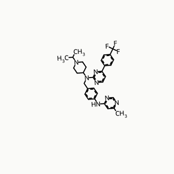 Cc1cc(Nc2ccc(CN(c3nccc(-c4ccc(C(F)(F)F)cc4)n3)C3CCN(C(C)C)CC3)cc2)ncn1